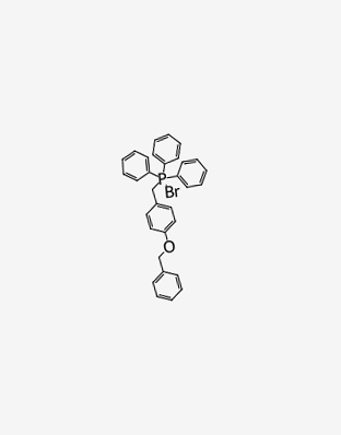 BrP(Cc1ccc(OCc2ccccc2)cc1)(c1ccccc1)(c1ccccc1)c1ccccc1